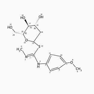 C/N=C(/Nc1ccc(OC)cc1)SC1C[C@@H](O)[C@H](O)[C@@H](CO)O1